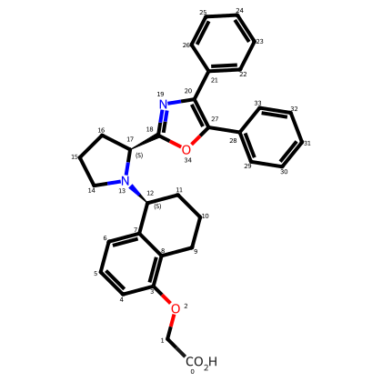 O=C(O)COc1cccc2c1CCC[C@@H]2N1CCC[C@H]1c1nc(-c2ccccc2)c(-c2ccccc2)o1